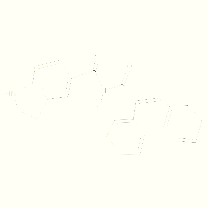 O=C(C(=Cc1ccccc1)c1ccccc1)N(O)C(=O)c1ccc2c(c1)CCN2